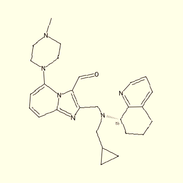 CN1CCN(c2cccc3nc(CN(CC4CC4)[C@H]4CCCc5cccnc54)c(C=O)n23)CC1